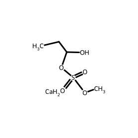 CCC(O)OS(=O)(=O)OC.[CaH2]